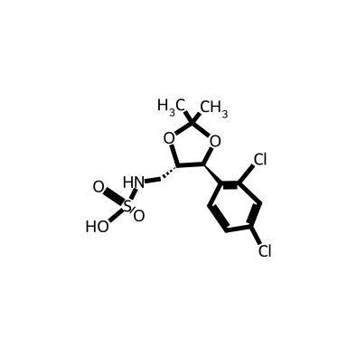 CC1(C)O[C@@H](CNS(=O)(=O)O)[C@H](c2ccc(Cl)cc2Cl)O1